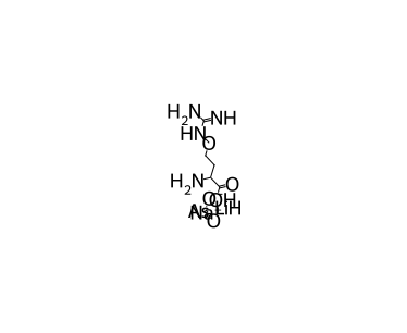 N=C(N)NOCCC(N)C(=O)O.O=[As][O-].[LiH].[Na+]